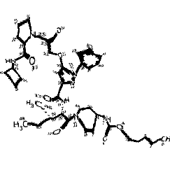 CCCCOC(=O)NC1CCN(C(=O)[C@@H](NC(=O)c2cc(OCC(=O)N3CCCC3C(=O)NC3CCC3)n(-c3ccccc3)n2)[C@@H](C)CC)CC1